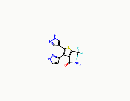 NC(=O)c1c(C(F)(F)F)sc(-c2cn[nH]c2)c1-c1cc[nH]n1